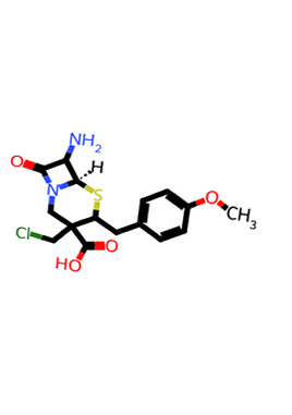 COc1ccc(CC2S[C@@H]3C(N)C(=O)N3CC2(CCl)C(=O)O)cc1